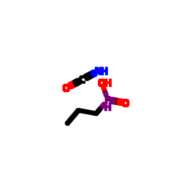 CCC[PH](=O)O.N=C=O